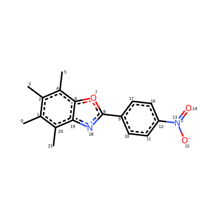 Cc1c(C)c(C)c2oc(-c3ccc([N+](=O)[O-])cc3)nc2c1C